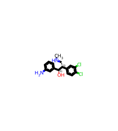 CNC[C@H](c1ccc(Cl)c(Cl)c1)[C@H](O)c1cccc(N)c1